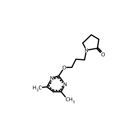 Cc1[c]c(C)nc(OCCCN2CCCC2=O)n1